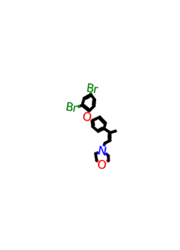 CC(=CCN1CCOCC1)c1ccc(Oc2ccc(Br)cc2Br)cc1